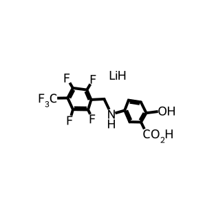 O=C(O)c1cc(NCc2c(F)c(F)c(C(F)(F)F)c(F)c2F)ccc1O.[LiH]